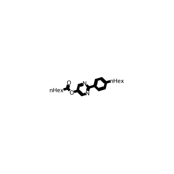 CCCCCCC(=O)Oc1cnc(-c2ccc(CCCCCC)cc2)nc1